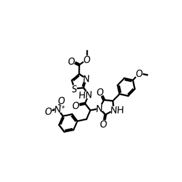 COC(=O)c1csc(NC(=O)C(Cc2cccc([N+](=O)[O-])c2)N2C(=O)NC(c3ccc(OC)cc3)C2=O)n1